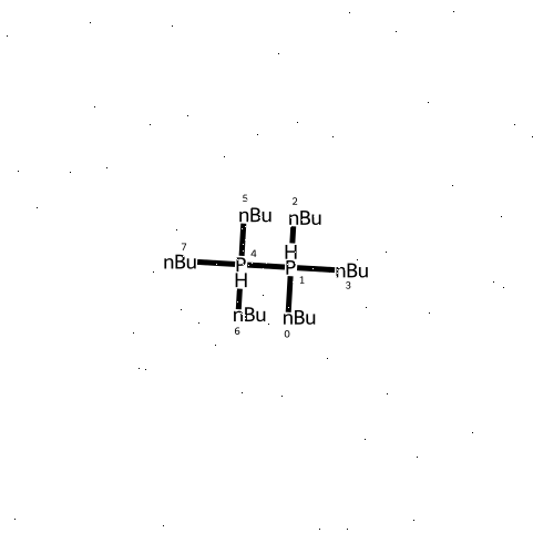 CCCC[PH](CCCC)(CCCC)[PH](CCCC)(CCCC)CCCC